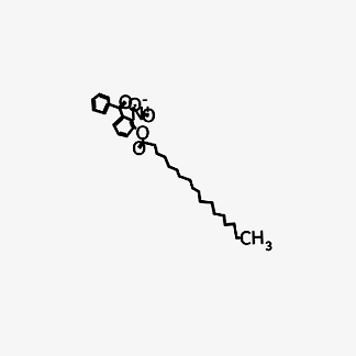 CCCCCCCCCCCCCCCCCC(=O)Oc1cccc(C(=O)c2ccccc2)c1[N+](=O)[O-]